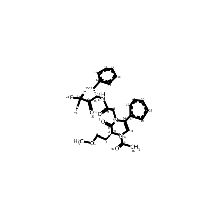 COCC[C@H]1C(=O)N(CC(=O)N[C@@H](Cc2ccccc2)C(=O)C(F)(F)F)C(c2ccccc2)=CN1C(C)=O